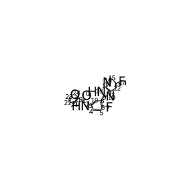 O=C(Nc1ccc(F)c(-c2nc3cc(F)cnc3[nH]2)c1)c1ccco1